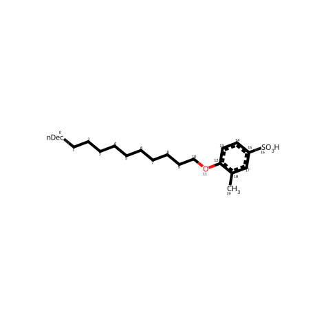 CCCCCCCCCCCCCCCCCCCCOc1ccc(S(=O)(=O)O)cc1C